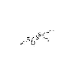 C=CCSC(=O)CSSC(CC=C)CCCC